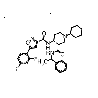 C[C@@H](NC(=O)[C@H]1CN(C2CCCCC2)CC[C@@H]1NC(=O)c1cc(-c2ccc(F)cc2F)on1)c1ccccc1